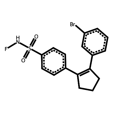 O=S(=O)(NF)c1ccc(C2=C(c3cccc(Br)c3)CCC2)cc1